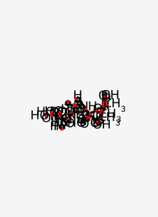 CCN(CCCS(=O)(=O)O)c1ccc2c(C(C)(C)C)cc(/C=C/C=C3\N(CCCS(=O)(=O)O)c4ccc(S(=O)(=O)O)cc4C3(C)CCCC(=O)N[C@@H](Cc3ccccc3)C(=O)N[C@@H](CCc3ccccc3)C(=O)NCC(=O)NCCNC(=O)[C@H](Cc3ccccc3)NC(=O)CC[C@H](NC(=O)N[C@@H](CCC(=O)O)C(=O)O)C(=O)O)[o+]c2c1